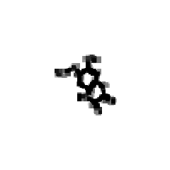 CC(C)(C)c1cc2c(cc1SC#N)NC(=O)C(=O)C2